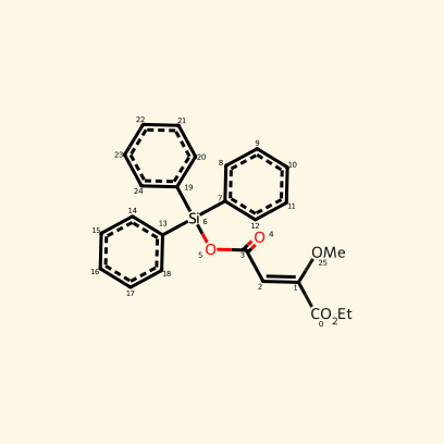 CCOC(=O)/C(=C/C(=O)O[Si](c1ccccc1)(c1ccccc1)c1ccccc1)OC